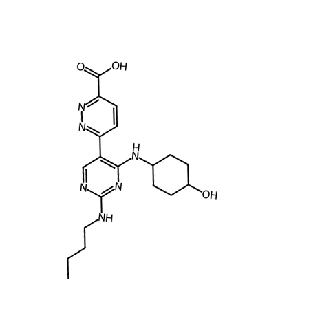 CCCCNc1ncc(-c2ccc(C(=O)O)nn2)c(NC2CCC(O)CC2)n1